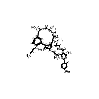 Cc1nc(-c2ccc(C(C)(C)C)cc2F)nc(N)c1C(=O)NCC(=O)N(C)[C@@H]1C(=O)N[C@@H](C)C(=O)N[C@H](C(=O)O)Cc2ccc(OCCCN)c(c2)-c2cc1cc(OCCCN)c2O